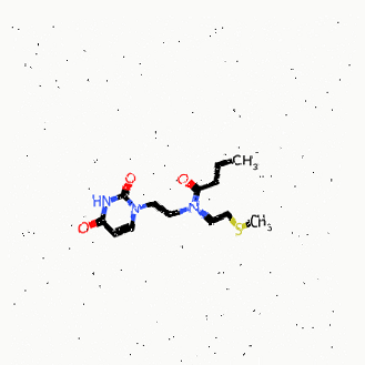 CCCC(=O)N(CCSC)CCn1ccc(=O)[nH]c1=O